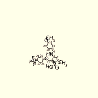 COc1ccc(CN[C@H]2C[C@@H](C)N(C(=O)O)[C@H]2COc2ccc(C(F)(F)F)cc2)cc1